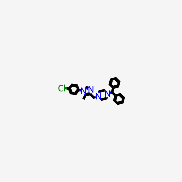 Cc1c(CN2CCN(C(c3ccccc3)c3ccccc3)CC2)ncn1-c1ccc(Cl)cc1